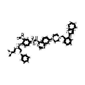 CN(C)CC[C@H](CSc1ccccc1)Nc1ccc(S(=O)(=O)Nc2ncnc3cc(N4CCN(Cc5ccccc5-c5cc6ccccc6o5)CC4)ccc23)cc1[N+](=O)[O-]